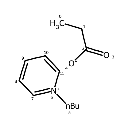 CCC(=O)[O-].CCCC[n+]1ccccc1